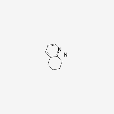 [Ni].c1cnc2c(c1)CCCC2